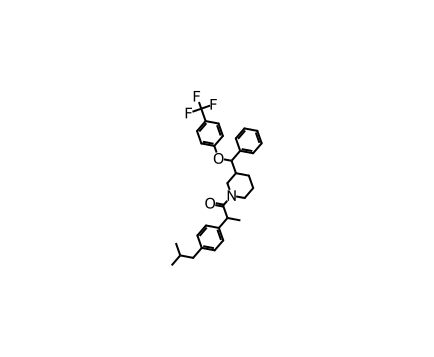 CC(C)Cc1ccc(C(C)C(=O)N2CCCC(C(Oc3ccc(C(F)(F)F)cc3)c3ccccc3)C2)cc1